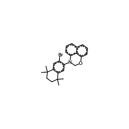 CC1(C)CCC(C)(C)c2cc(N3COc4cccc5cccc3c45)c(Br)cc21